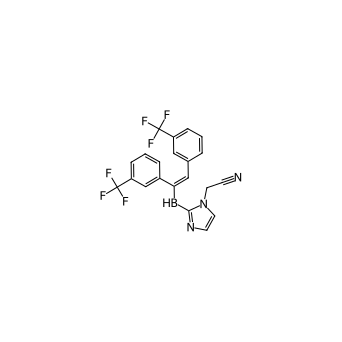 N#CCn1ccnc1BC(=Cc1cccc(C(F)(F)F)c1)c1cccc(C(F)(F)F)c1